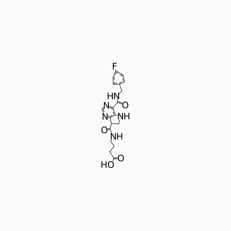 O=C(O)CCCNC(=O)C1CNc2c(C(=O)NCc3ccc(F)cc3)ncnc21